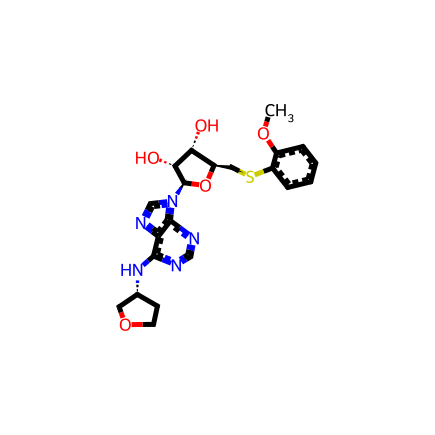 COc1ccccc1SC[C@H]1O[C@@H](n2cnc3c(N[C@@H]4CCOC4)ncnc32)[C@H](O)[C@@H]1O